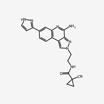 N#CC1(C(=O)NCCn2cc3c(n2)c(N)nc2cc(-c4cc[nH]n4)ccc23)CC1